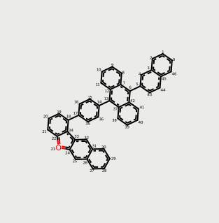 c1ccc2cc(-c3c4ccccc4c(-c4ccc(-c5cccc6oc7cc8ccccc8cc7c56)cc4)c4ccccc34)ccc2c1